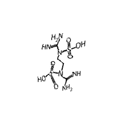 N=C(N)N(CCN(C(=N)N)S(=O)(=O)O)S(=O)(=O)O